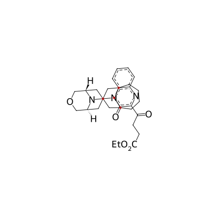 CCOC(=O)CCC(=O)c1nc2ccccc2n(C2C[C@H]3COC[C@H](C2)N3C2CC3CCCCC(C3)C2)c1=O